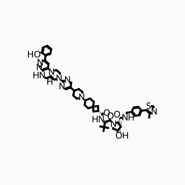 Cc1ncsc1-c1ccc(CNC(=O)[C@@H]2C[C@@H](O)CN2C(=O)[C@@H](NC(=O)[C@H]2CC3(CC[C@H](N4CCC(c5cnc(N6CCN7c8cc(-c9ccccc9O)nnc8NC[C@H]7C6)nc5)CC4)CC3)C2)C(C)(C)C)cc1